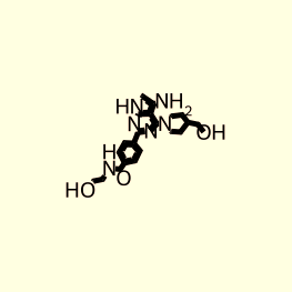 Nc1c[nH]c2nc(-c3ccc(C(=O)NCCO)cc3)nc(N3CCC(CO)CC3)c12